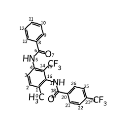 Cc1ccc(NC(=O)c2ccccc2)c(C(F)(F)F)c1NC(=O)c1ccc(C(F)(F)F)cc1